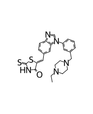 CCN1CCN(Cc2cccc(-n3cnc4ccc(/C=C5\SC(=S)NC5=O)cc43)c2)CC1